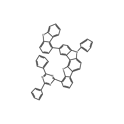 c1ccc(-c2nc(-c3ccccc3)nc(-c3cccc4c3sc3c4ccc4c3c3cc(-c5cccc6oc7ccccc7c56)ccc3n4-c3ccccc3)n2)cc1